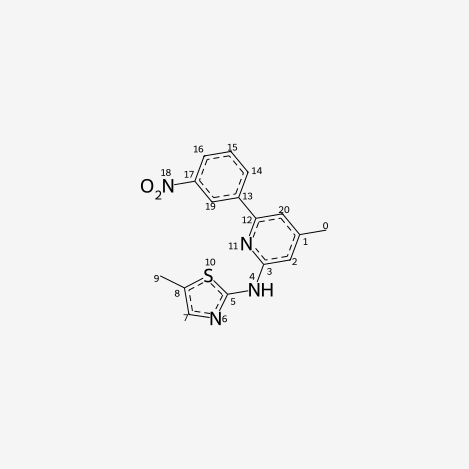 Cc1cc(Nc2ncc(C)s2)nc(-c2cccc([N+](=O)[O-])c2)c1